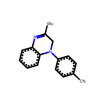 CC(C)(C)C1=Nc2ccccc2N(c2ccc(C#N)cc2)C1